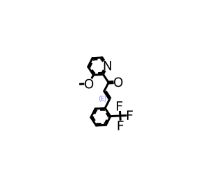 COc1cccnc1C(=O)/C=C/c1ccccc1C(F)(F)F